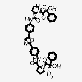 C[C@@](O)(C(=O)N1CCCC1C(=O)Nc1ccc(-c2ncc(-c3ccc(NC(=O)[C@@H]4CCCN4C(=O)[C@@](C)(O)c4ccccc4)cc3)o2)cc1)c1ccccc1